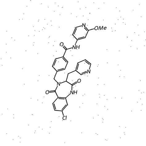 COc1cc(NC(=O)c2ccc(CN3C(=O)c4ccc(Cl)cc4NC(=O)C3Cc3cccnc3)cc2)ccn1